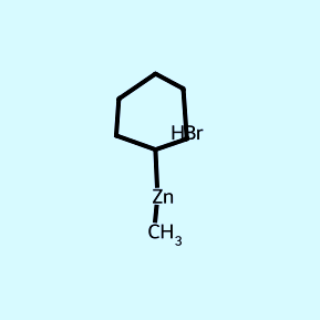 Br.[CH3][Zn][CH]1CCCCC1